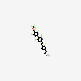 CCCc1ccc(/C=C/c2cc(F)c(-c3cc(F)c(C(F)(F)OC(F)(F)F)c(F)c3)c(F)c2)c(F)c1